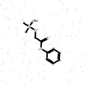 CCCC[Si](C)(C)OCC(=S)Oc1ccccc1